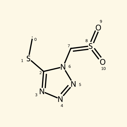 [CH2]Sc1nnnn1C=S(=O)=O